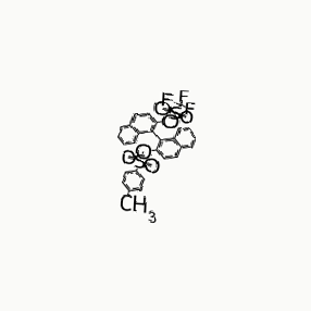 Cc1ccc(S(=O)(=O)Oc2ccc3ccccc3c2-c2c(OS(=O)(=O)C(F)(F)F)ccc3ccccc23)cc1